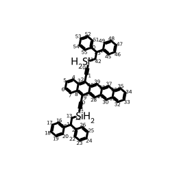 C(#Cc1c2ccccc2c(C#C[SiH2]CC(c2ccccc2)c2ccccc2)c2cc3cc4ccccc4cc3cc12)[SiH2]CC(c1ccccc1)c1ccccc1